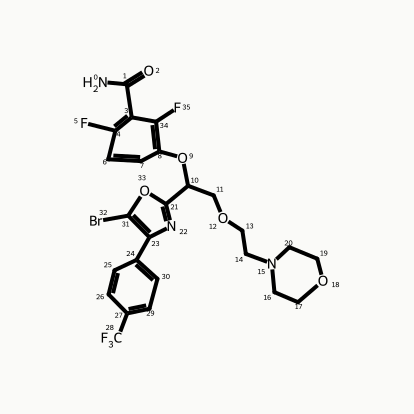 NC(=O)c1c(F)ccc(OC(COCCN2CCOCC2)c2nc(-c3ccc(C(F)(F)F)cc3)c(Br)o2)c1F